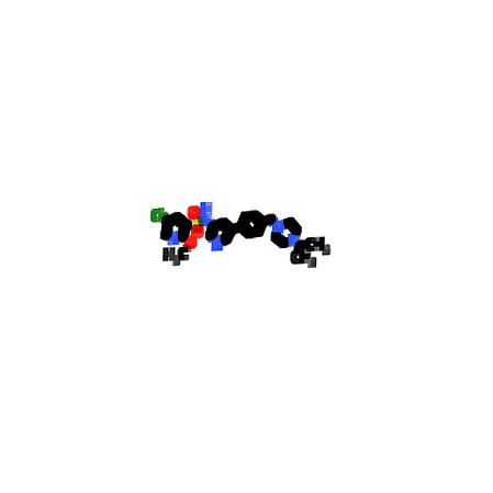 COc1ncc(Cl)cc1S(=O)(=O)Nc1cncc(-c2ccc(CN3CCN(C(C)C)CC3)cc2)c1